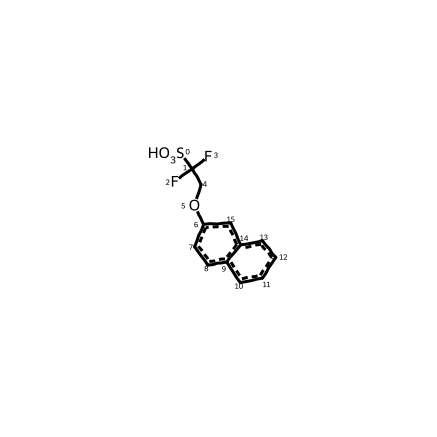 O=S(=O)(O)C(F)(F)COc1ccc2ccccc2c1